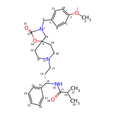 COc1ccc(CN2CC3(CCN(CC[C@H](NC(=O)C(C)C)c4ccccc4)CC3)OC2=O)cc1